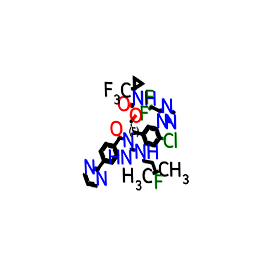 CC(C)(F)CCNC(=N)N(C(=O)c1ccc(-c2ncccn2)cc1)[C@H](COC(=O)NC1(C(F)(F)F)CC1)c1ccc(Cl)c(-n2ncnc2C(F)F)c1